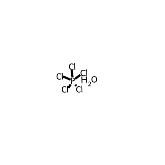 ClP(Cl)(Cl)(Cl)Cl.O